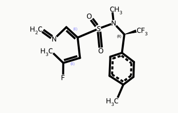 C=N/C=C(\C=C(/C)F)S(=O)(=O)N(C)[C@H](c1ccc(C)cc1)C(F)(F)F